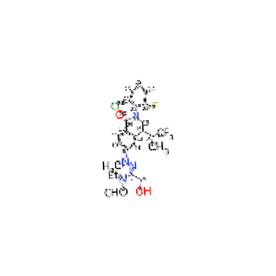 CCN(C=O)/C(CO)=N\N(C)c1ccc2c(c1)C(C(C)C(F)(F)F)CN(c1c(F)cccc1Cl)C2=O